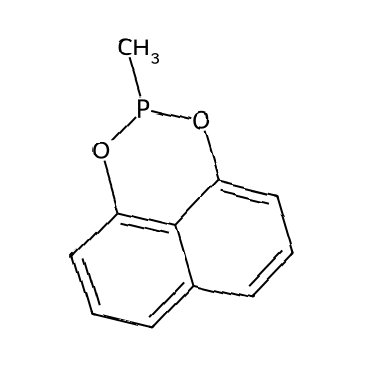 CP1Oc2cccc3cccc(c23)O1